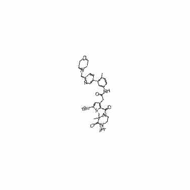 Cc1ccc(NC(=O)Cc2cc(C(C)(C)C)sc2C(=O)N2CCN(C(C)C)C(=O)C2(C)C)cc1-c1ccc(CN2CCOCC2)nc1